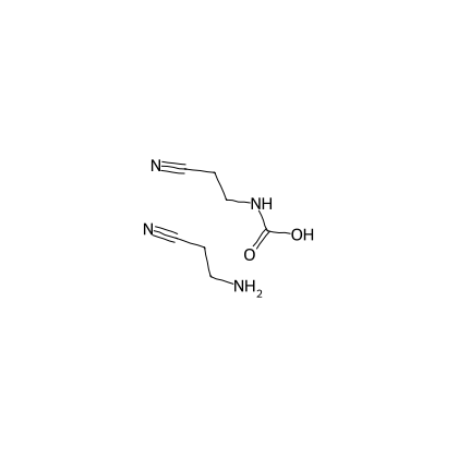 N#CCCN.N#CCCNC(=O)O